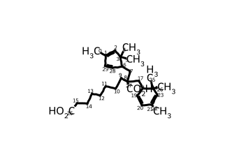 CC1=CC(C)(C)C(CC(CCCCCCCC(=O)O)(CC2C=CC(C)=CC2(C)C)C(=O)O)C=C1